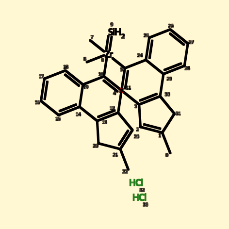 CC1=Cc2c[c]([Zr]([CH3])([CH3])(=[SiH2])[c]3cc4c(c5ccccc35)CC(C)=C4)c3ccccc3c2C1.Cl.Cl